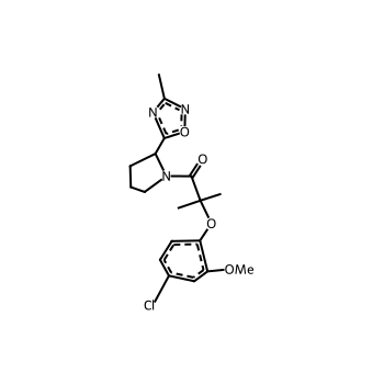 COc1cc(Cl)ccc1OC(C)(C)C(=O)N1CCCC1c1nc(C)no1